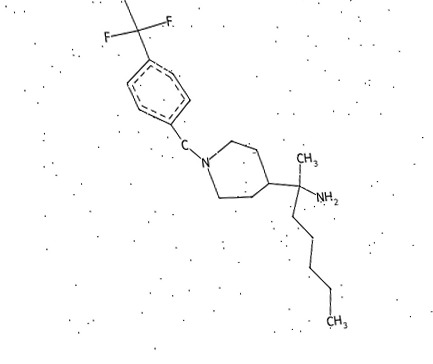 CCCCCC(C)(N)C1CCN(Cc2ccc(C(F)(F)F)cc2)CC1